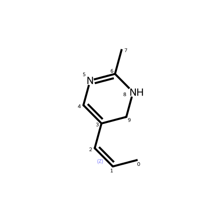 C/C=C\C1=CN=C(C)NC1